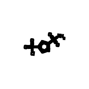 NS(=O)(=O)c1cc(S(=O)(=O)Cl)cs1